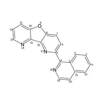 c1ccc2c(-c3ccc4oc5cccnc5c4n3)nccc2c1